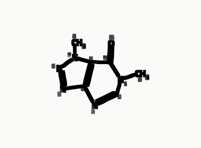 Cn1cnc2nnn(C)c2c1=O